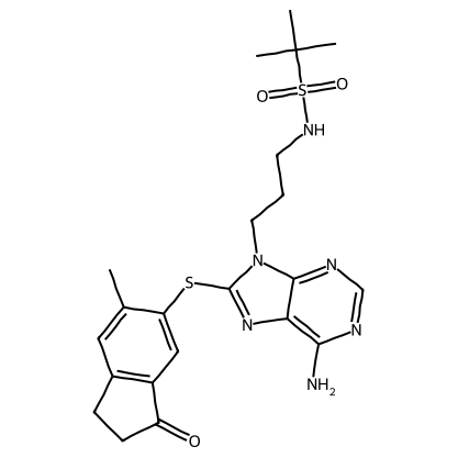 Cc1cc2c(cc1Sc1nc3c(N)ncnc3n1CCCNS(=O)(=O)C(C)(C)C)C(=O)CC2